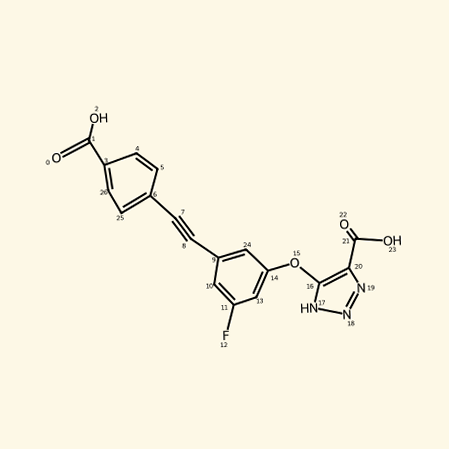 O=C(O)c1ccc(C#Cc2cc(F)cc(Oc3[nH]nnc3C(=O)O)c2)cc1